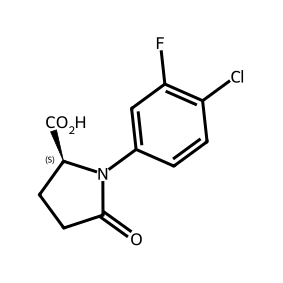 O=C(O)[C@@H]1CCC(=O)N1c1ccc(Cl)c(F)c1